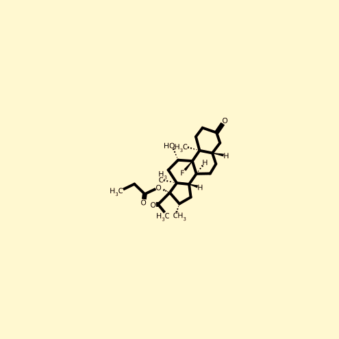 CCC(=O)O[C@@]1(C(C)=O)[C@@H](C)C[C@H]2[C@@H]3CC[C@H]4CC(=O)CC[C@]4(C)[C@@]3(F)[C@@H](O)C[C@@]21C